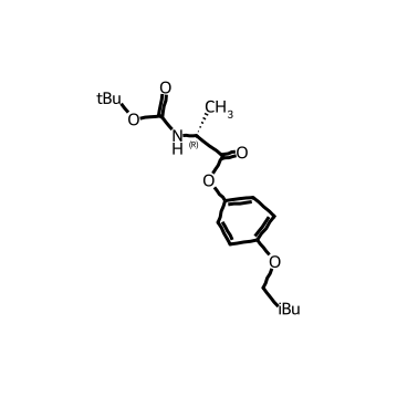 CCC(C)COc1ccc(OC(=O)[C@@H](C)NC(=O)OC(C)(C)C)cc1